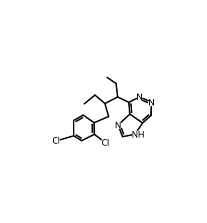 CCC(Cc1ccc(Cl)cc1Cl)C(CC)c1nncc2[nH]cnc12